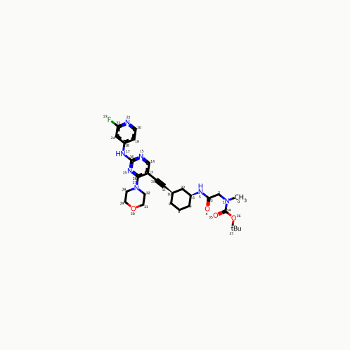 CN(CC(=O)N[C@H]1CCC[C@@H](C#Cc2cnc(Nc3ccnc(F)c3)nc2N2CCOCC2)C1)C(=O)OC(C)(C)C